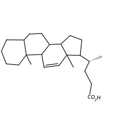 C[C@H](CCC(=O)O)C1CCC2C3CCC4CCCCC4(C)C3C=CC21C